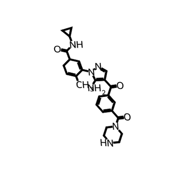 CC1=CCC(C(=O)NC2CC2)C=C1n1ncc(C(=O)c2cccc(C(=O)N3CCNCC3)c2)c1N